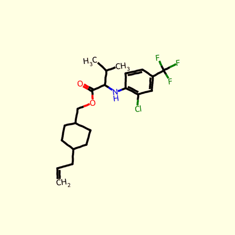 C=CCC1CCC(COC(=O)C(Nc2ccc(C(F)(F)F)cc2Cl)C(C)C)CC1